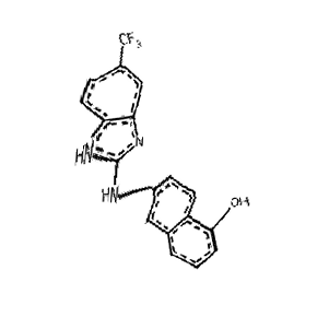 Oc1cccc2cc(Nc3nc4cc(C(F)(F)F)ccc4[nH]3)ccc12